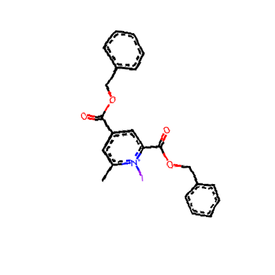 Cc1cc(C(=O)OCc2ccccc2)cc(C(=O)OCc2ccccc2)[n+]1I